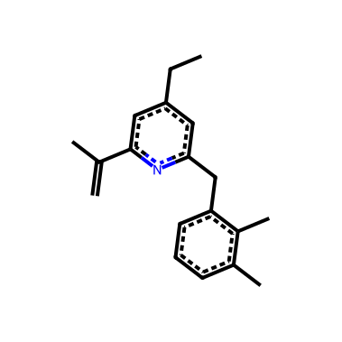 C=C(C)c1cc(CC)cc(Cc2cccc(C)c2C)n1